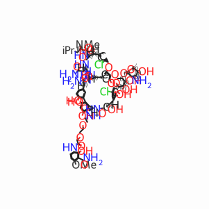 CN[C@H](CC(C)C)C(=O)N[C@H]1C(=O)N[C@@H](CC(N)=O)C(=O)N[C@H]2C(=O)N[C@@H](C(N)=O)c3ccc(O)c(c3)-c3c(O)cc(O)cc3[C@H](C(=O)NCCOCCOCC(=O)Nc3ccc(OC)c(C(N)=O)c3O)NC(=O)C[C@H](O)c3ccc(c(Cl)c3)Oc3cc2cc(c3OC2O[C@@H](CO)[C@@H](O)[C@H](O)[C@@H]2O[C@@H]2C[C@](C)(N)[C@H](O)[C@@H](C)O2)Oc2ccc(cc2Cl)[C@H]1O